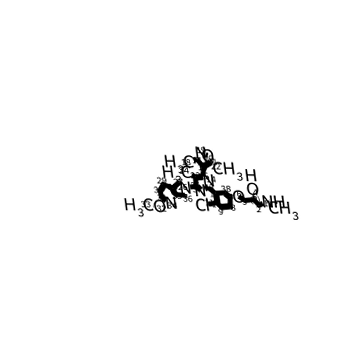 CNC[C@@H](O)COc1ccc(Cl)c(-c2nc(-c3c(C)noc3C)c(C)c(N3Cc4ccc(OC)nc4C3)n2)c1